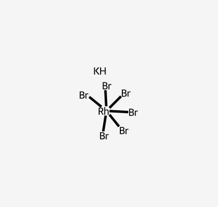 [Br][Rh]([Br])([Br])([Br])([Br])[Br].[KH]